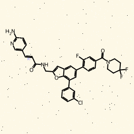 Nc1ccc(/C=C/C(=O)NCc2cc3cc(-c4ccc(C(=O)N5CCC(F)(F)CC5)cc4F)cc(-c4cccc(Cl)c4)c3o2)cn1